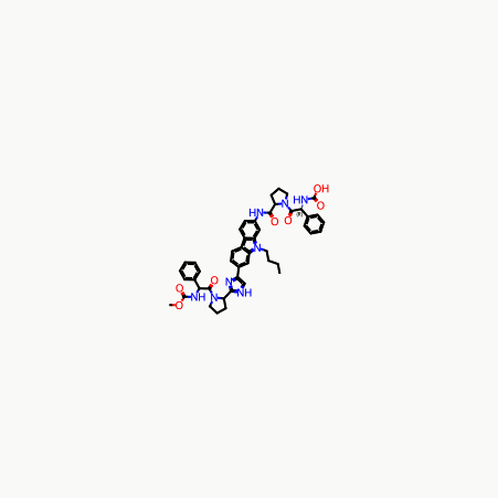 CCCCn1c2cc(NC(=O)C3CCCN3C(=O)[C@H](NC(=O)O)c3ccccc3)ccc2c2ccc(-c3c[nH]c(C4CCCN4C(=O)C(NC(=O)OC)c4ccccc4)n3)cc21